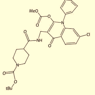 COC(=O)Oc1c(CNC(=O)C2CCN(C(=O)OC(C)(C)C)CC2)c(=O)c2ccc(Cl)cc2n1-c1ccccc1